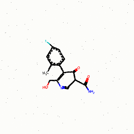 Cc1cc(F)ccc1C1=C(CO)N=CC(C(N)=O)C1=O